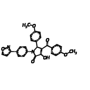 COc1ccc(C(=O)C2=C(O)C(=O)N(c3ccc(-c4ccon4)cc3)C2c2ccc(OC)cc2)cc1